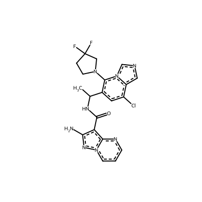 CC(NC(=O)c1c(N)nn2cccnc12)c1cc(Cl)c2cncn2c1N1CCC(F)(F)C1